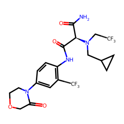 NC(=O)[C@H](C(=O)Nc1ccc(N2CCOCC2=O)cc1C(F)(F)F)N(CC1CC1)CC(F)(F)F